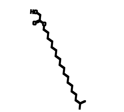 CC(C)CCCCCCCCCCCCCCCCCOC(=O)CO